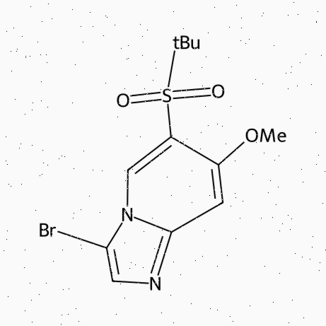 COc1cc2ncc(Br)n2cc1S(=O)(=O)C(C)(C)C